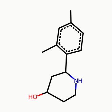 Cc1ccc(C2CC(O)CCN2)c(C)c1